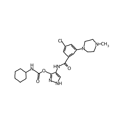 CN1CCN(c2cc(Cl)cc(C(=O)Nc3c[nH]nc3OC(=O)NC3CCCCC3)c2)CC1